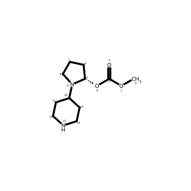 COC(=O)O[C@H]1CCCN1C1CCNCC1